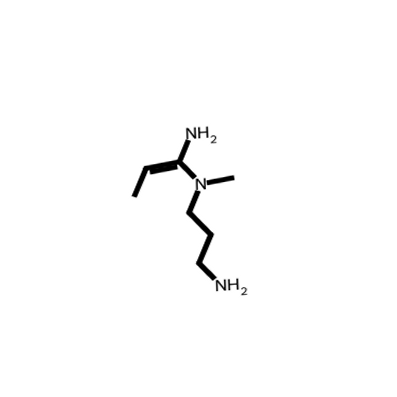 CC=C(N)N(C)CCCN